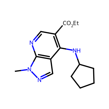 CCOC(=O)c1cnc2c(cnn2C)c1NC1CCCC1